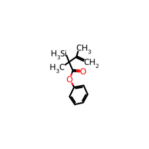 C=C(C)C(C)([SiH3])C(=O)Oc1ccccc1